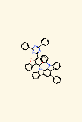 N#Cc1cc(-n2c3ccccc3c3cc(-c4ccccc4)c4c5ccccc5n(-c5ccccc5)c4c32)c2c(oc3ccccc32)c1-c1nc(-c2ccccc2)nc(-c2ccccc2)n1